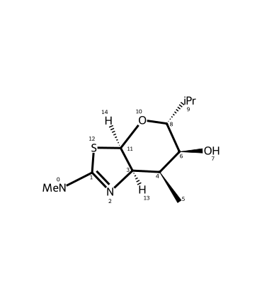 CNC1=N[C@@H]2[C@H](C)[C@H](O)[C@@H](C(C)C)O[C@@H]2S1